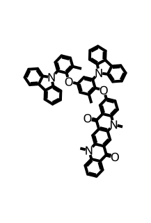 Cc1cccc(-n2c3ccccc3c3ccccc32)c1Oc1cc(C)c(Oc2ccc3c(c2)c(=O)c2cc4c(cc2n3C)c(=O)c2ccccc2n4C)c(-n2c3ccccc3c3ccccc32)c1